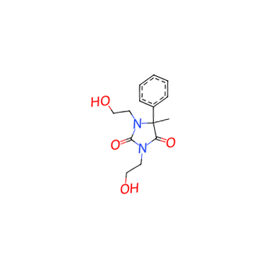 CC1(c2ccccc2)C(=O)N(CCO)C(=O)N1CCO